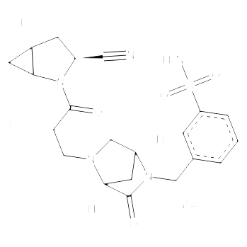 C[C@@H](CN1C[C@@H]2C[C@H]1C(=O)N2[C@@H](C)c1cccc(S(N)(=O)=O)c1)C(=O)N1C2C[C@H]2C[C@H]1C#N